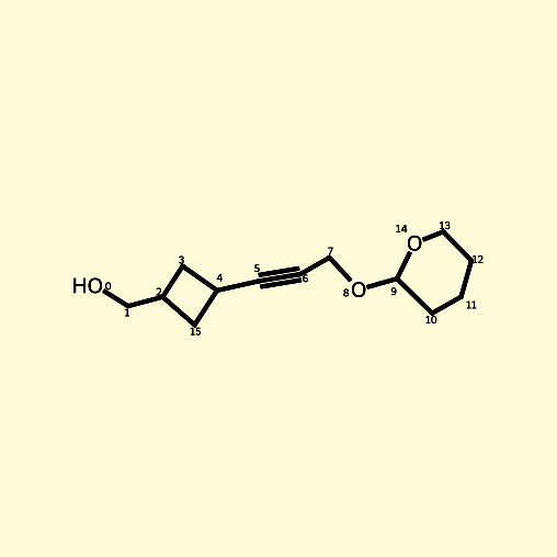 OCC1CC(C#CCOC2CCCCO2)C1